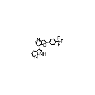 FC(F)(F)c1ccc(-c2cc3nccc(-c4c[nH]c5ncccc45)c3o2)cc1